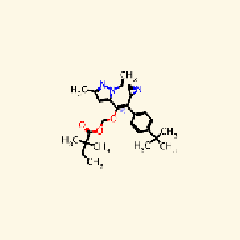 CCn1nc(C)cc1/C(OCOC(=O)C(C)(C)CC)=C(/c1ccc(C(C)(C)C)cc1)C1C=N1